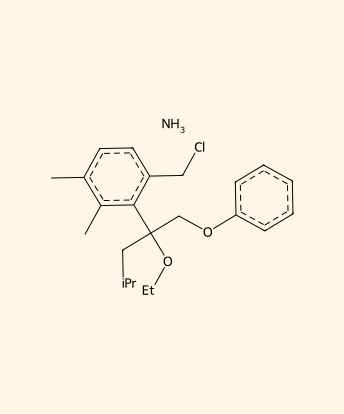 CCOC(COc1ccccc1)(CC(C)C)c1c(CCl)ccc(C)c1C.N